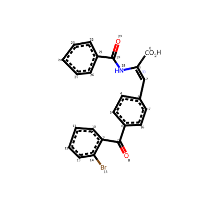 O=C(O)/C(=C/c1ccc(C(=O)c2ccccc2Br)cc1)NC(=O)c1ccccc1